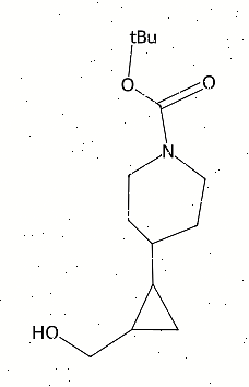 CC(C)(C)OC(=O)N1CCC(C2CC2CO)CC1